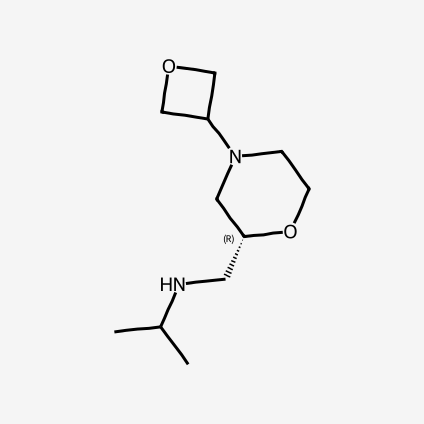 CC(C)NC[C@@H]1CN(C2COC2)CCO1